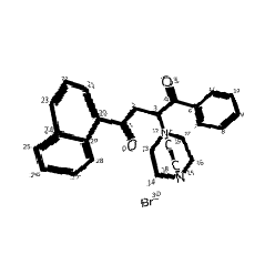 O=C(CC(C(=O)c1ccccc1)[N+]12CCN(CC1)CC2)c1cccc2ccccc12.[Br-]